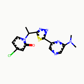 CC(c1nnc(-c2cncc(N(C)C)n2)s1)n1ccc(Cl)cc1=O